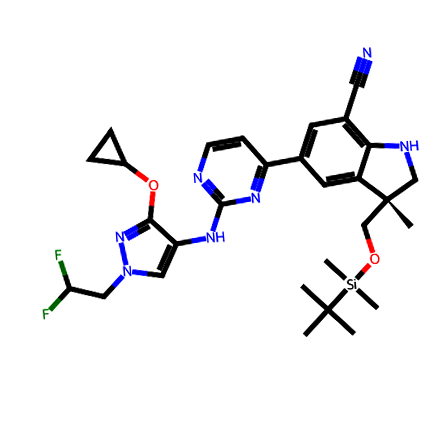 CC(C)(C)[Si](C)(C)OC[C@@]1(C)CNc2c(C#N)cc(-c3ccnc(Nc4cn(CC(F)F)nc4OC4CC4)n3)cc21